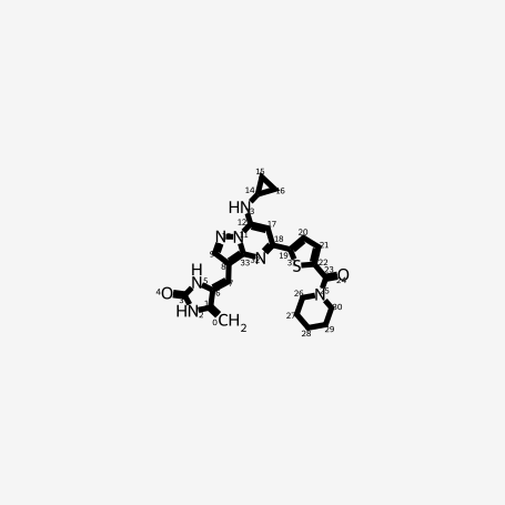 C=c1[nH]c(=O)[nH]/c1=C\c1cnn2c(NC3CC3)cc(-c3ccc(C(=O)N4CCCCC4)s3)nc12